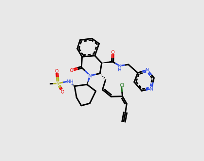 C#C/C=C(Cl)\C=C/C[C@H]1[C@H](C(=O)NCc2ccncn2)c2ccccc2C(=O)N1[C@H]1CCCC[C@@H]1NS(C)(=O)=O